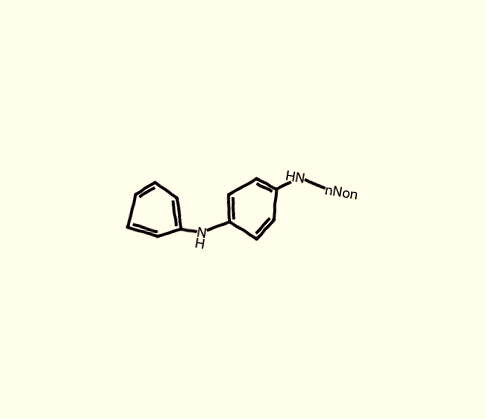 CCCCCCCCCNc1ccc(Nc2ccccc2)cc1